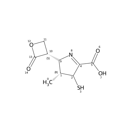 C[C@H]1C(S)C(C(=O)O)=NC1[C@H]1COC1=O